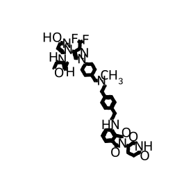 CN(CCc1ccc(CCNc2cccc3c2C(=O)N(C2CCC(=O)NC2=O)C3=O)cc1)CC1CCC(n2cc(-n3nc(O)cc3N3C[C@H]4C[C@@H]3CO4)c(C(F)F)n2)CC1